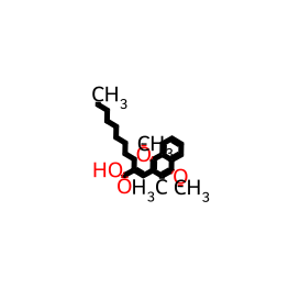 CCCCCCCCCC(=Cc1c(C)c(OC)c2ccccc2c1OC)C(=O)O